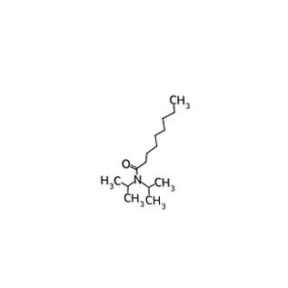 CCCCCCCCC(=O)N(C(C)C)C(C)C